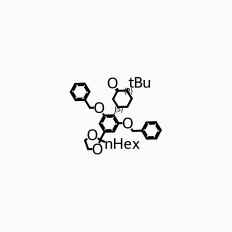 CCCCCCC1(c2cc(OCc3ccccc3)c([C@H]3CC[C@H](C(C)(C)C)C(=O)C3)c(OCc3ccccc3)c2)OCCO1